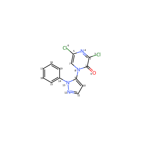 O=c1c(Cl)nc(Cl)cn1-c1ccnn1-c1ccccc1